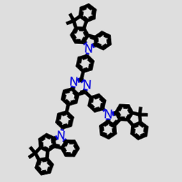 CC1(C)c2ccccc2-c2c1ccc1c2c2ccccc2n1-c1ccc(-c2ccc3nc(-c4ccc(-n5c6ccccc6c6c7c(ccc65)C(C)(C)c5ccccc5-7)cc4)nc(-c4ccc(-n5c6ccccc6c6c7c(ccc65)C(C)(C)c5ccccc5-7)cc4)c3c2)cc1